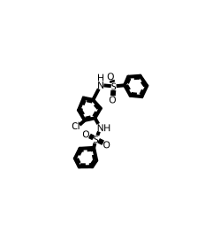 O=S(=O)(Nc1ccc(Cl)c(NS(=O)(=O)c2ccccc2)c1)c1ccccc1